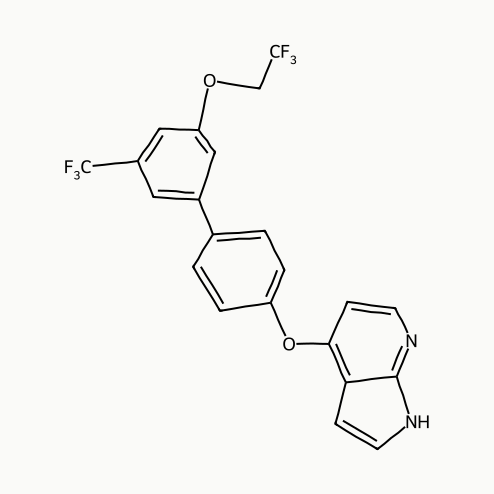 FC(F)(F)COc1cc(-c2ccc(Oc3ccnc4[nH]ccc34)cc2)cc(C(F)(F)F)c1